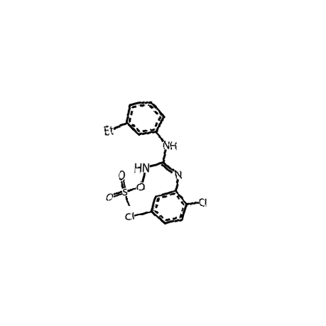 CCc1cccc(NC(=Nc2cc(Cl)ccc2Cl)NOS(C)(=O)=O)c1